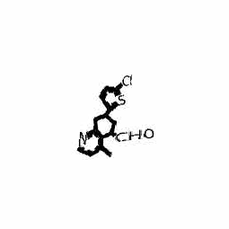 Cc1ccnc2c1C(C=O)CC(c1ccc(Cl)s1)C2